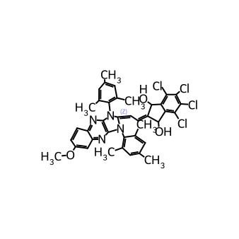 COc1ccc2nc3c(nc2c1)N(c1c(C)cc(C)cc1C)/C(=C\C=C1C(O)c2c(Cl)c(Cl)c(Cl)c(Cl)c2C1O)N3c1c(C)cc(C)cc1C